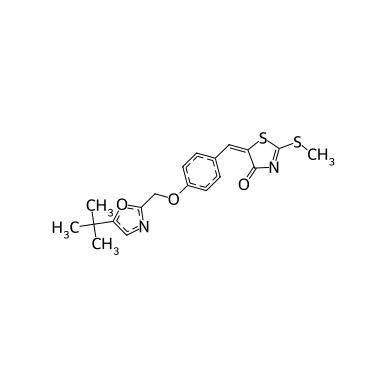 CSC1=NC(=O)/C(=C\c2ccc(OCc3ncc(C(C)(C)C)o3)cc2)S1